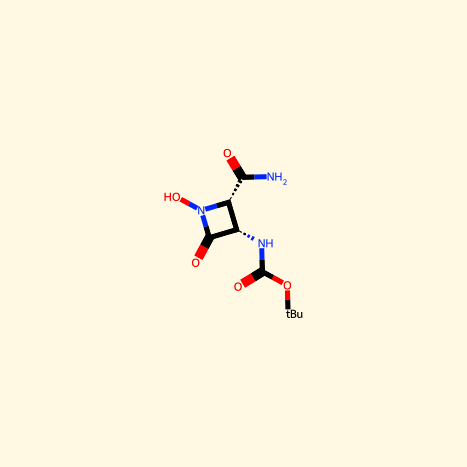 CC(C)(C)OC(=O)N[C@@H]1C(=O)N(O)[C@@H]1C(N)=O